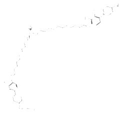 CCCCCC1CCC(c2ccc(OCCCCCCCCCCCO[PH](=O)OCCCCCCCCCCCOc3ccc(C4CCC(CCCCC)CC4)c(F)c3F)c(F)c2F)CC1